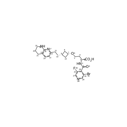 O=C(N[C@@H](CCO[C@H]1C[C@@H](CCc2ccc3c(n2)NCCC3)C1)C(=O)O)c1c(F)cncc1Br